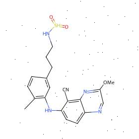 COc1cnc2ccc(Nc3cc(CCCN[SH](=O)=O)ccc3C)c(C#N)c2n1